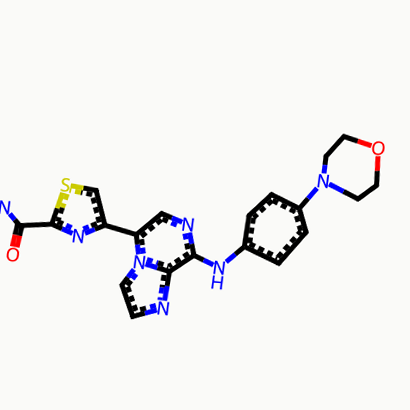 NC(=O)c1nc(-c2cnc(Nc3ccc(N4CCOCC4)cc3)c3nccn23)cs1